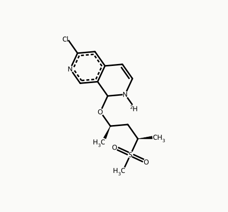 [2H]N1C=Cc2cc(Cl)ncc2C1O[C@H](C)C[C@@H](C)S(C)(=O)=O